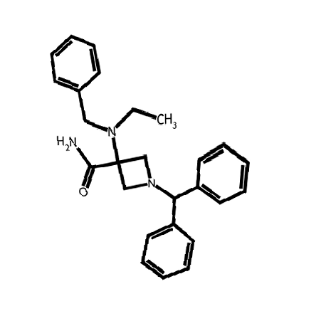 CCN(Cc1ccccc1)C1(C(N)=O)CN(C(c2ccccc2)c2ccccc2)C1